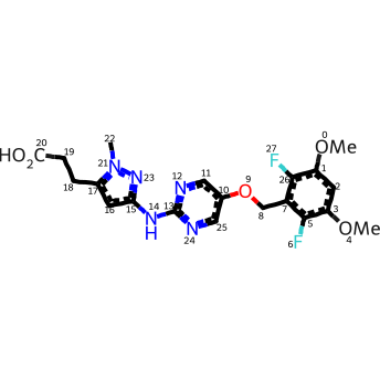 COc1cc(OC)c(F)c(COc2cnc(Nc3cc(CCC(=O)O)n(C)n3)nc2)c1F